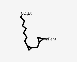 CCCCCC1CC1CC1CC1CCCCCCCC(=O)OCC